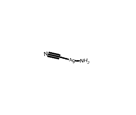 N#[C][Ag][NH2]